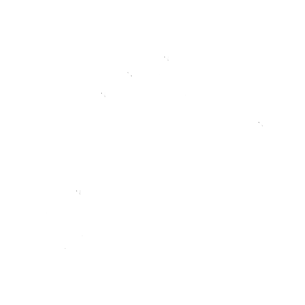 CC(C)(C)OC(=O)N1CC=C(c2ccc(Nc3cc(-c4ccc(OC5CCOCC5)c(C#N)c4)ccn3)nc2)CC1